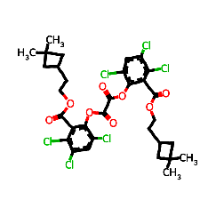 CC1(C)CC(CCOC(=O)c2c(Cl)c(Cl)cc(Cl)c2OC(=O)C(=O)Oc2c(Cl)cc(Cl)c(Cl)c2C(=O)OCCC2CC(C)(C)C2)C1